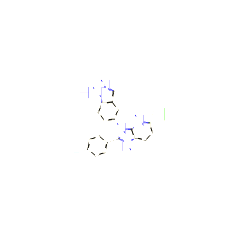 Fc1ccc(-c2nc3ccc(Cl)nc3n2-c2ccc3[nH]ncc3c2)cc1